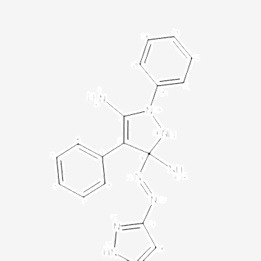 NC1=C(c2ccccc2)C(N)(N=Nc2cc[nH]n2)NN1c1ccccc1